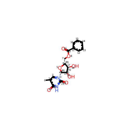 Cc1cn([C@@H]2O[C@H](COC(=O)c3ccccc3)[C@@H](O)[C@H]2O)c(=O)[nH]c1=O